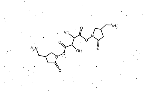 NCC1CC(=O)N(OC(=O)C(O)C(O)C(=O)ON2CC(CN)CC2=O)C1